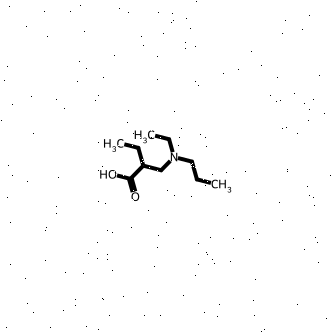 CCCN(CC)CC(CC)C(=O)O